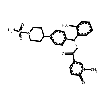 Cc1ccccc1[C@H](CC(=O)c1ccc(=O)n(C)c1)c1ccc(C2CCN(S(N)(=O)=O)CC2)cc1